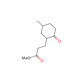 COC(=O)CCC1CC(C)CCC1=O